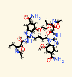 CCc1nc(C)oc1C(=O)Nc1nc2cc(C(N)=O)cc(OC)c2n1CC=CCn1c(NC(=O)c2oc(C)nc2CC)nc2cc(C(N)=O)cc(OCCO)c21